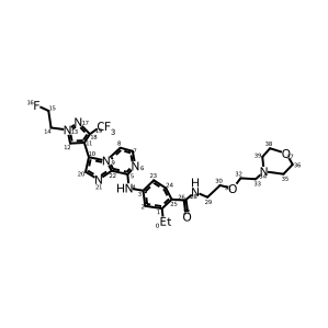 CCc1cc(Nc2nccn3c(-c4cn(CCF)nc4C(F)(F)F)cnc23)ccc1C(=O)NCCOCCN1CCOCC1